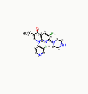 O=C(O)c1cn(-c2ccncc2F)c2nc(N3CCNCC3)c(F)cc2c1=O